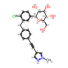 Cn1cc(C#Cc2ccc(Cc3cc([C@@H]4O[C@H](CO)[C@@H](O)C(O)[C@H]4O)ccc3Cl)cc2)cn1